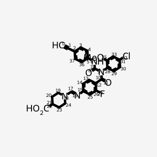 C#Cc1ccc(NC(=O)N(C(=O)c2ccc(N=CN3CCC(C(=O)O)CC3)cc2F)c2ccc(Cl)cc2OC)cc1